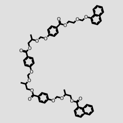 CC(COC(=O)c1ccc(OCOC(C)COC(=O)c2ccc(OCOC(C)COC(=O)c3cccc4ccccc34)cc2)cc1)OCOc1ccc(C(=O)OCCOCOc2cccc3ccccc23)cc1